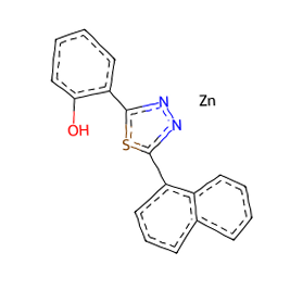 Oc1ccccc1-c1nnc(-c2cccc3ccccc23)s1.[Zn]